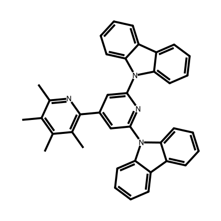 Cc1nc(-c2cc(-n3c4ccccc4c4ccccc43)nc(-n3c4ccccc4c4ccccc43)c2)c(C)c(C)c1C